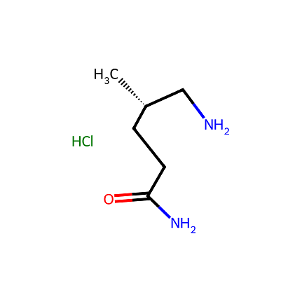 C[C@H](CN)CCC(N)=O.Cl